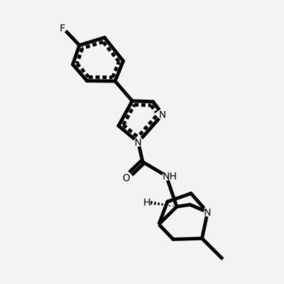 CC1CC2CCN1C[C@@H]2NC(=O)n1cc(-c2ccc(F)cc2)cn1